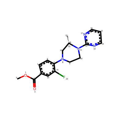 COC(=O)c1ccc(N2CCN(c3ncccn3)[C@@H](C)C2)c(F)c1